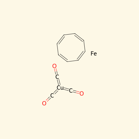 C1=CC=CC=CC=C1.O=[C]=[Cu](=[C]=O)=[C]=O.[Fe]